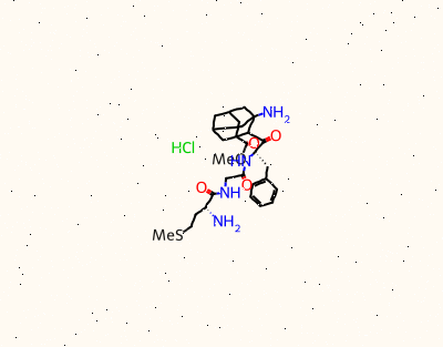 COC(=O)C12CC3CC(CC(N)(C3)C1C(=O)[C@H](Cc1ccccc1)NC(=O)CNC(=O)[C@H](N)CCSC)C2.Cl